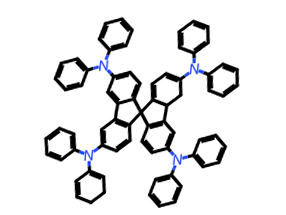 C1=CC(N(c2ccccc2)c2ccc3c(c2)-c2cc(N(c4ccccc4)c4ccccc4)ccc2C32C3=CC=C(N(c4ccccc4)c4ccccc4)CC3c3cc(N(c4ccccc4)c4ccccc4)ccc32)=CCC1